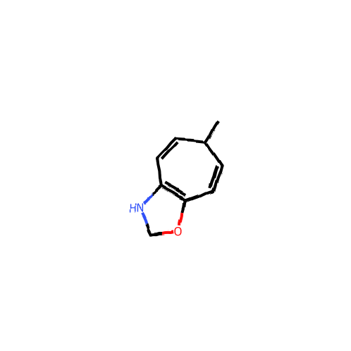 CC1C=CC2=C(C=C1)OCN2